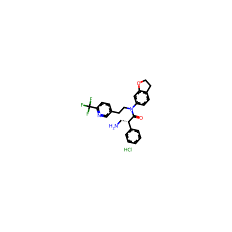 Cl.NC[C@H](C(=O)N(CCc1ccc(C(F)(F)F)nc1)c1ccc2c(c1)OCC2)c1ccccc1